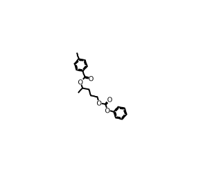 Cc1ccc(C(=O)OC(C)CCCOC(=O)Oc2ccccc2)cc1